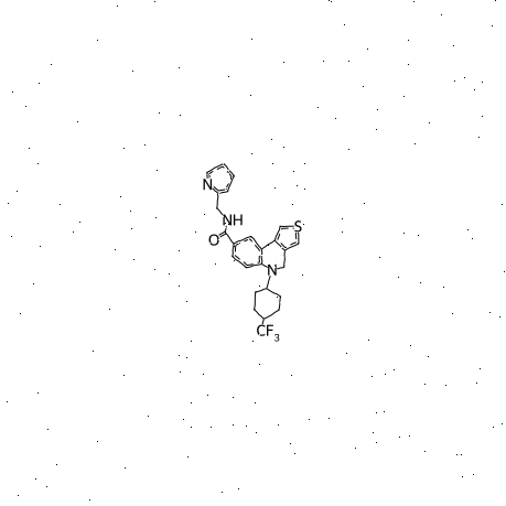 O=C(NCc1ccccn1)c1ccc2c(c1)-c1cscc1CN2C1CCC(C(F)(F)F)CC1